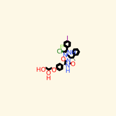 C[C@@H](c1ccccc1)C(c1nc(Cl)c(-c2ccc(I)cc2F)[nH]1)N1C(=O)N[C@H](c2ccc(OC[C@@H](O)CO)cc2)C1=O